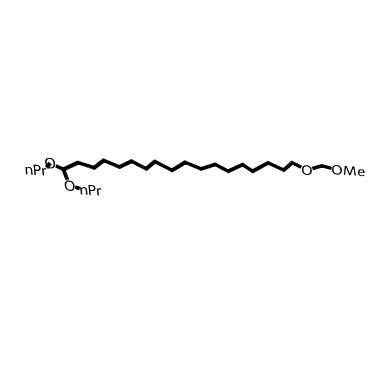 CCCOC(CCCCCCCCCCCCCCCCCOCOC)OCCC